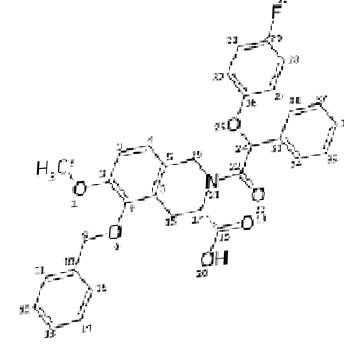 COc1ccc2c(c1OCc1ccccc1)C[C@@H](C(=O)O)N(C(=O)C(Oc1ccc(F)cc1)c1ccccc1)C2